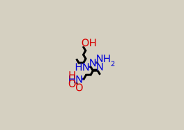 CCC(CCCCO)Nc1nc(N)nc(C)c1CCCNC(=O)O